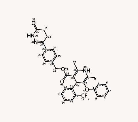 CC1=C(Oc2ccccc2)C(c2ccccc2C(F)(F)F)C(C(=O)OCc2ccc(C3=NNC(=O)CC3)cc2)=C(C)N1